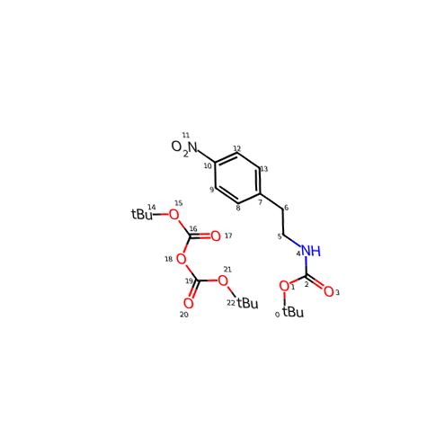 CC(C)(C)OC(=O)NCCc1ccc([N+](=O)[O-])cc1.CC(C)(C)OC(=O)OC(=O)OC(C)(C)C